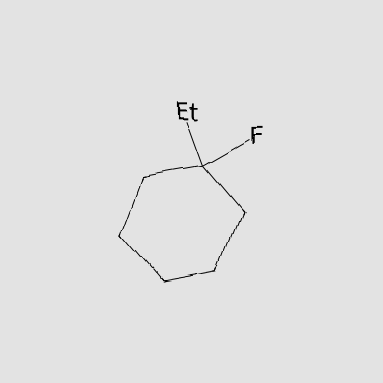 [CH2]CC1(F)CCCCC1